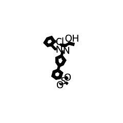 C=C(O)c1cn(Cc2ccccc2Cl)c(-c2ccc(-c3cccc(S(C)(=O)=O)c3)cc2)n1